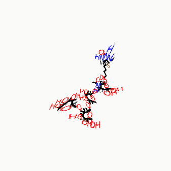 C=NC12CSC(CCCCC(=O)O[C@]3(C)OC(C)(CO)[C@@](C)(O)C(C)(COCC4(C)OC(C)(C)[C@@](C)(COCC5(C)OC(C)(CO)[C@@](C)(O)C(C)(O)C5(C)COC[C@]5(C)OC(C)(C)[C@@](C)(O)C(C)(O)C5(C)O)C(C)(O)C4(C)O)C3(C)NC(C)=O)[C@H]1NC(=O)N2